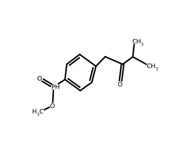 CO[PH](=O)c1ccc(CC(=O)C(C)C)cc1